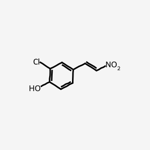 O=[N+]([O-])C=Cc1ccc(O)c(Cl)c1